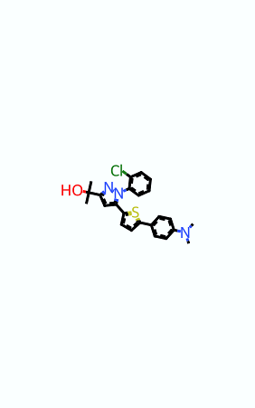 CN(C)c1ccc(-c2ccc(-c3cc(C(C)(C)O)nn3-c3ccccc3Cl)s2)cc1